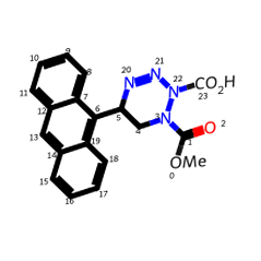 COC(=O)N1CC(c2c3ccccc3cc3ccccc23)N=NN1C(=O)O